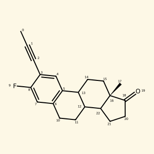 CC#Cc1cc2c(cc1F)CCC1C2CC[C@]2(C)C(=O)CCC12